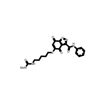 CNC(=O)NCCCCCSC1=CC(=O)c2onc(C(=O)Nc3ccccc3)c2C1=O